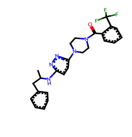 CC(Cc1ccccc1)Nc1ccc(N2CCN(C(=O)c3ccccc3C(F)(F)F)CC2)nn1